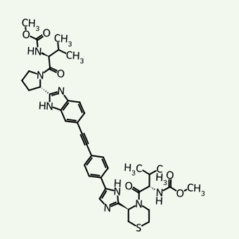 COC(=O)N[C@H](C(=O)N1CCSC[C@H]1c1ncc(-c2ccc(C#Cc3ccc4nc([C@@H]5CCCN5C(=O)[C@@H](NC(=O)OC)C(C)C)[nH]c4c3)cc2)[nH]1)C(C)C